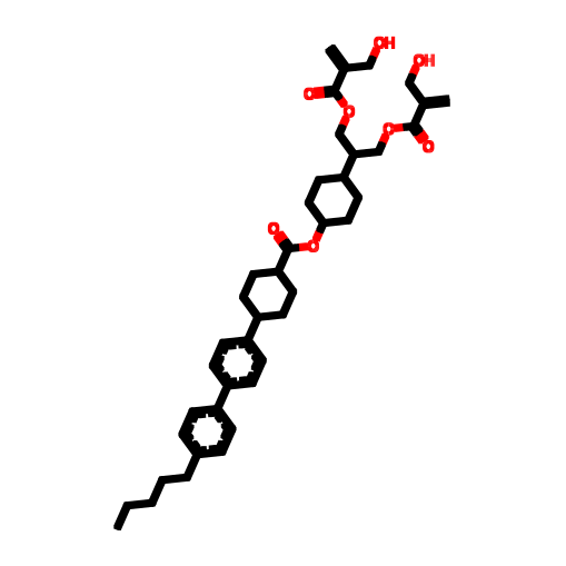 C=C(CO)C(=O)OCC(COC(=O)C(=C)CO)C1CCC(OC(=O)C2CCC(c3ccc(-c4ccc(CCCCC)cc4)cc3)CC2)CC1